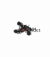 CCCCCCCCNC(=O)CC[C@@H](C)[C@H]1CC[C@H]2[C@@H]3[C@H](OC(=O)Oc4ccccc4)C[C@@H]4C[C@H](OC(=O)Oc5ccccc5)CC[C@]4(C)[C@H]3C[C@H](OC(=O)Oc3ccccc3)[C@]12C